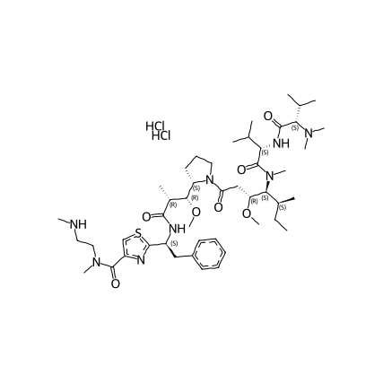 CC[C@H](C)[C@@H]([C@@H](CC(=O)N1CCC[C@H]1[C@H](OC)[C@@H](C)C(=O)N[C@@H](Cc1ccccc1)c1nc(C(=O)N(C)CCNC)cs1)OC)N(C)C(=O)[C@@H](NC(=O)[C@H](C(C)C)N(C)C)C(C)C.Cl.Cl